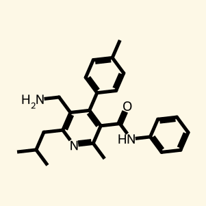 Cc1ccc(-c2c(CN)c(CC(C)C)nc(C)c2C(=O)Nc2ccccc2)cc1